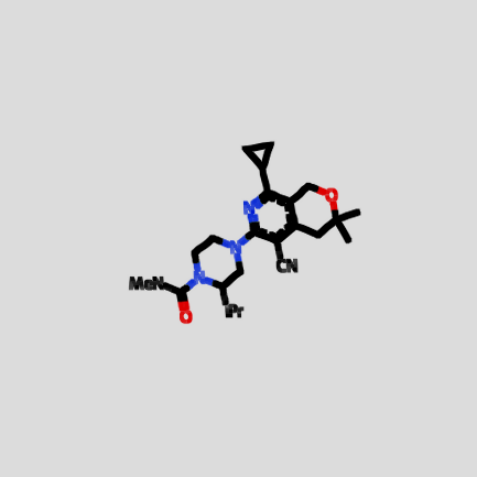 CNC(=O)N1CCN(c2nc(C3CC3)c3c(c2C#N)CC(C)(C)OC3)CC1C(C)C